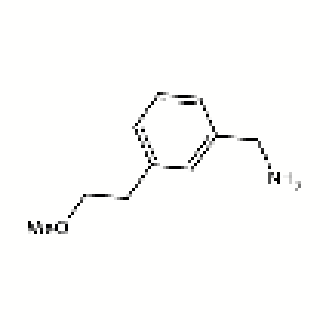 COCCc1cccc(CN)c1